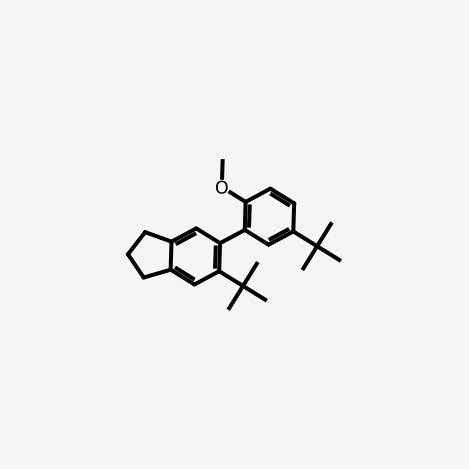 COc1ccc(C(C)(C)C)cc1-c1cc2c(cc1C(C)(C)C)CCC2